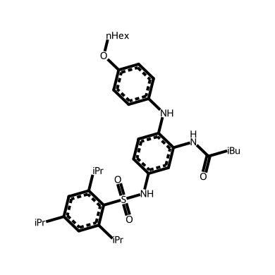 CCCCCCOc1ccc(Nc2ccc(NS(=O)(=O)c3c(C(C)C)cc(C(C)C)cc3C(C)C)cc2NC(=O)C(C)CC)cc1